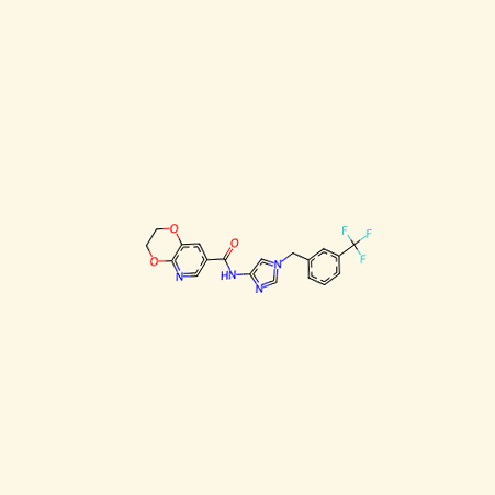 O=C(Nc1cn(Cc2cccc(C(F)(F)F)c2)cn1)c1cnc2c(c1)OCCO2